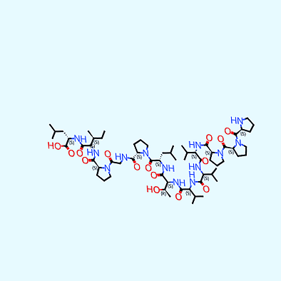 CC[C@H](C)[C@H](NC(=O)[C@@H]1CCCN1C(=O)CNC(=O)[C@@H]1CCCN1C(=O)[C@H](CC(C)C)NC(=O)[C@@H](NC(=O)[C@@H](NC(=O)[C@@H](NC(=O)[C@@H](NC(=O)[C@@H]1CCCN1C(=O)[C@@H]1CCCN1C(=O)[C@@H]1CCCN1)C(C)C)C(C)C)C(C)C)[C@@H](C)O)C(=O)N[C@@H](CC(C)C)C(=O)O